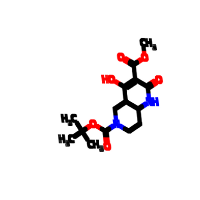 COC(=O)C1=C(O)C2CN(C(=O)OC(C)(C)C)CCC2NC1=O